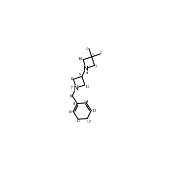 CC1(C)CN(C2CN(CC3=CCCC=C3)C2)C1